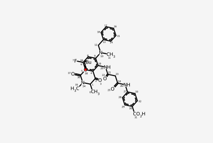 CC(C(=O)c1cc(F)cc(N(C)Cc2ccccc2)c1NC(=O)CC(=O)Nc1ccc(C(=O)O)cc1)N(C)C(=O)OC(C)(C)C